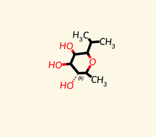 CC(C)C1OC(C)[C@H](O)C(O)C1O